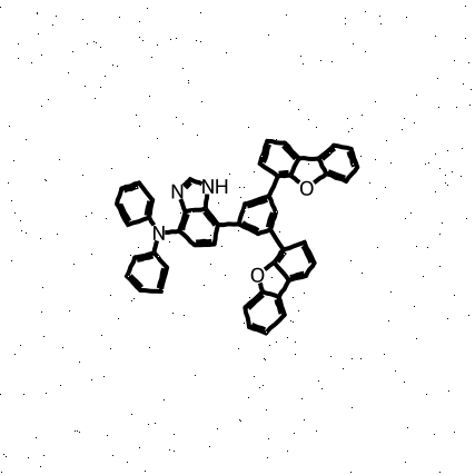 c1ccc(N(c2ccccc2)c2ccc(-c3cc(-c4cccc5c4oc4ccccc45)cc(-c4cccc5c4oc4ccccc45)c3)c3[nH]cnc23)cc1